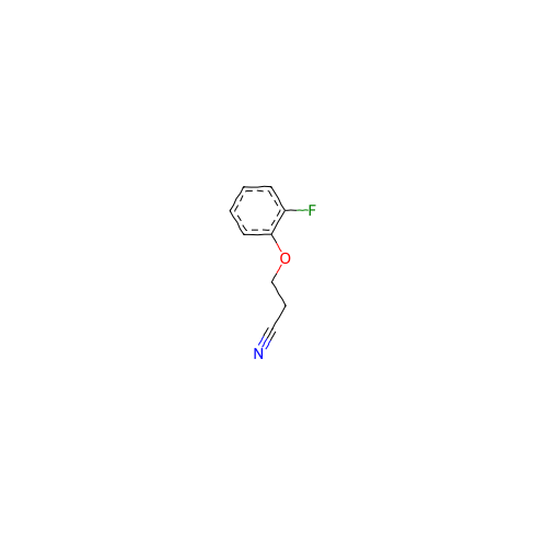 N#CCCOc1ccccc1F